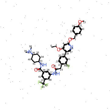 CCOc1cc(OCc2ccc(OC)cc2)ncc1-c1ccc(CC(=O)Nc2cc(C(=O)NC3CCC(N(C)C)CC3)cc(C(F)(F)F)c2)c(F)c1